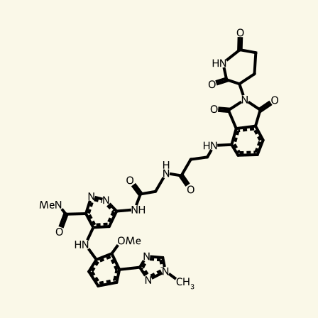 CNC(=O)c1nnc(NC(=O)CNC(=O)CCNc2cccc3c2C(=O)N(C2CCC(=O)NC2=O)C3=O)cc1Nc1cccc(-c2ncn(C)n2)c1OC